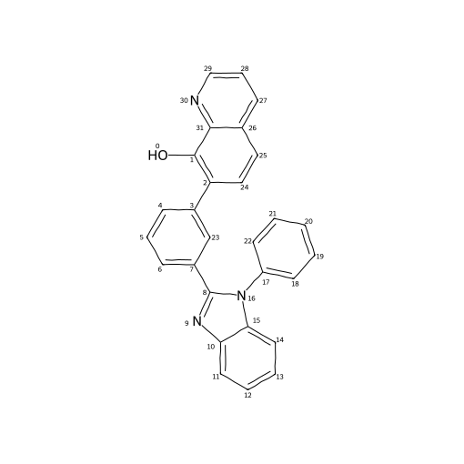 Oc1c(-c2cccc(-c3nc4ccccc4n3-c3ccccc3)c2)ccc2cccnc12